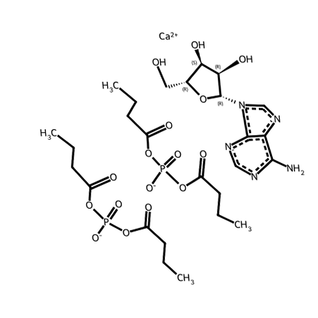 CCCC(=O)OP(=O)([O-])OC(=O)CCC.CCCC(=O)OP(=O)([O-])OC(=O)CCC.Nc1ncnc2c1ncn2[C@@H]1O[C@H](CO)[C@@H](O)[C@H]1O.[Ca+2]